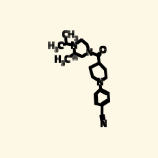 CC(C)N1CCN(C(=O)C2CCN(c3ccc(C#N)cc3)CC2)C[C@H]1C